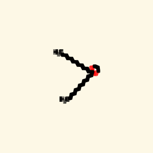 CCCCCCCCCCCCC1(CCCCCCCCCCCC)OCCCO1